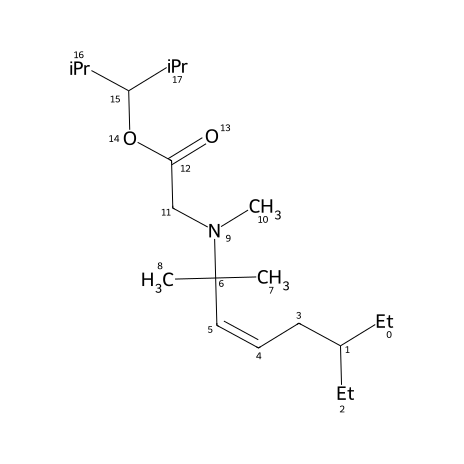 CCC(CC)C/C=C\C(C)(C)N(C)CC(=O)OC(C(C)C)C(C)C